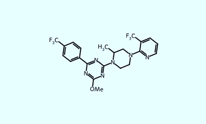 COc1nc(-c2ccc(C(F)(F)F)cc2)nc(N2CCN(c3ncccc3C(F)(F)F)CC2C)n1